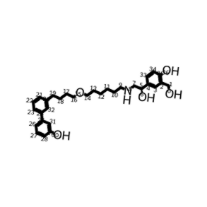 OCc1cc([C@@H](O)CNCCCCCCOCCCCc2cccc(-c3cccc(O)c3)c2)ccc1O